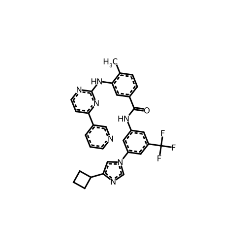 Cc1ccc(C(=O)Nc2cc(-n3cnc(C4CCC4)c3)cc(C(F)(F)F)c2)cc1Nc1nccc(-c2cccnc2)n1